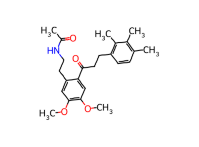 COc1cc(CCNC(C)=O)c(C(=O)CCc2ccc(C)c(C)c2C)cc1OC